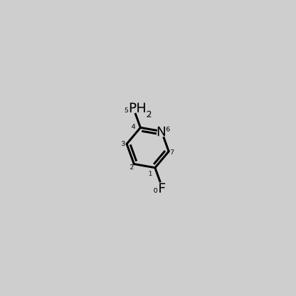 Fc1ccc(P)nc1